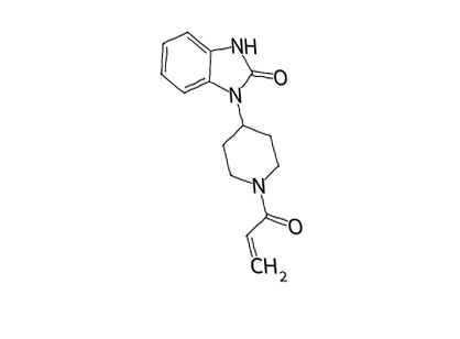 C=CC(=O)N1CCC(n2c(=O)[nH]c3ccccc32)CC1